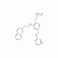 O=C(O)CCc1ccc(COc2cccnc2)cc1OCCc1ccc2ccccc2c1